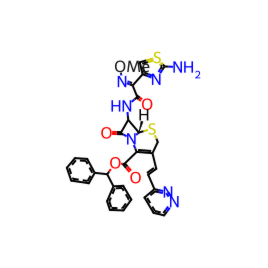 CON=C(C(=O)NC1C(=O)N2C(C(=O)OC(c3ccccc3)c3ccccc3)=C(C=Cc3cccnn3)CS[C@@H]12)c1csc(N)n1